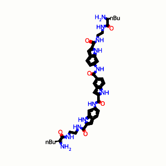 CCCC[C@H](N)C(=O)NCCNC(=O)c1cc2ccc(NC(=O)c3ccc4[nH]c(C(=O)Nc5ccc6cc(C(=O)NCCNC(=O)[C@@H](N)CCCC)[nH]c6c5)cc4c3)cc2[nH]1